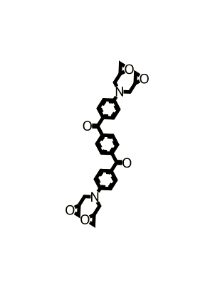 O=C(c1ccc(C(=O)c2ccc(N(CC3CO3)CC3CO3)cc2)cc1)c1ccc(N(CC2CO2)CC2CO2)cc1